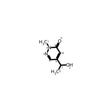 CC(O)c1cnn(C)c(=O)c1